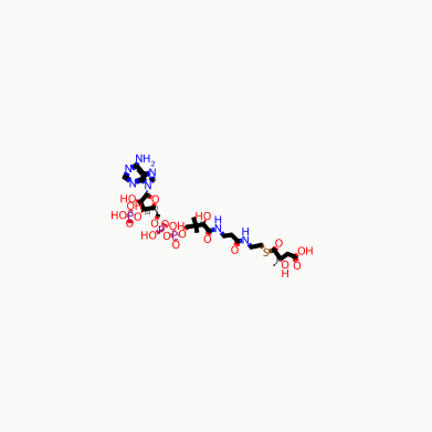 CC(C)(COP(=O)(O)OP(=O)(O)OC[C@H]1O[C@@H](n2cnc3c(N)ncnc32)[C@H](O)[C@@H]1OP(=O)(O)O)[C@@H](O)C(=O)NCCC(=O)NCCSC(=O)[C@](C)(O)CC(=O)O